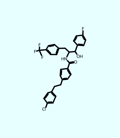 O=C(NC(Cc1ccc(C(F)(F)F)cc1)C(O)c1ccc(F)cc1)c1ccc(CCc2ccc(Cl)cc2)cc1